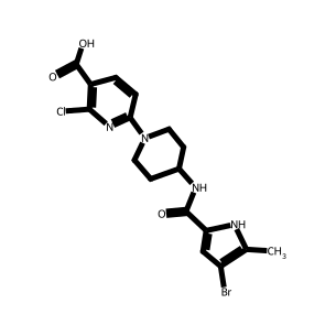 Cc1[nH]c(C(=O)NC2CCN(c3ccc(C(=O)O)c(Cl)n3)CC2)cc1Br